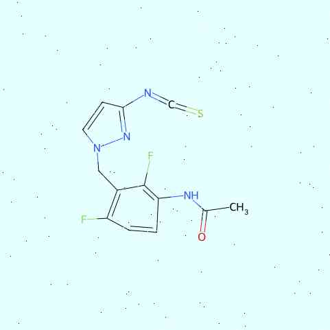 CC(=O)Nc1ccc(F)c(Cn2ccc(N=C=S)n2)c1F